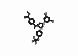 COC(=O)c1ccc(C(C)N2C[C@H](c3cc(Cl)cc(Cl)c3)C[C@@H]2c2ccc(OC(F)(F)F)cc2)cc1